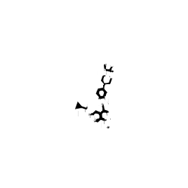 CNc1ncc(-c2nc3cc(C4CCN(C5(C)COCC5O)CC4)ccc3o2)c2cc(NC(=O)C3CC3)ncc12